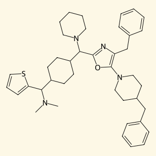 CN(C)C(c1cccs1)C1CCC(C(c2nc(Cc3ccccc3)c(N3CCC(Cc4ccccc4)CC3)o2)N2CCCCC2)CC1